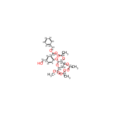 COC(=O)[C@H]1OC(Oc2ccc(CO)cc2C(=O)OCc2ccccc2)[C@H](OC(C)=O)[C@@H](OC(C)=O)[C@@H]1OC(C)=O